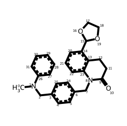 CN(Cc1ccc(CN2C(=O)CCc3c(C4OCCO4)cccc32)cc1)c1ccccc1